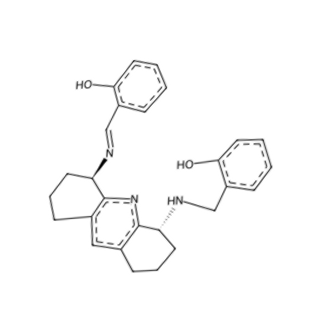 Oc1ccccc1/C=N/[C@@H]1CCCc2cc3c(nc21)[C@H](NCc1ccccc1O)CCC3